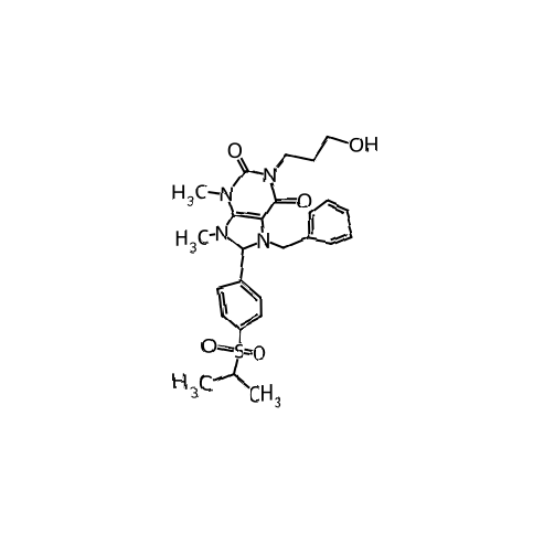 CC(C)S(=O)(=O)c1ccc(C2N(C)c3c(c(=O)n(CCCO)c(=O)n3C)N2Cc2ccccc2)cc1